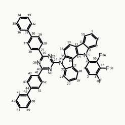 Fc1ccc(-n2c3ccccc3c3ccc4c(c5ccccc5n4-c4nc(-c5ccc(-c6ccccc6)cc5)nc(-c5ccc(-c6ccccc6)cc5)n4)c32)c(F)c1F